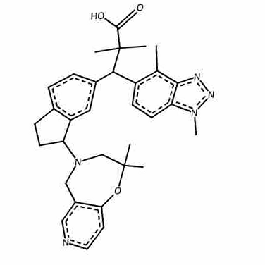 Cc1c(C(c2ccc3c(c2)C(N2Cc4cnccc4OC(C)(C)C2)CC3)C(C)(C)C(=O)O)ccc2c1nnn2C